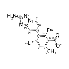 Cc1ccc(-c2ccn3nc(N)nc3c2)c(F)c1C(=O)[O-].[Li+]